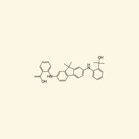 C=C(O)c1ccccc1Nc1ccc2c(c1)C(C)(C)c1cc(Nc3ccccc3C(C)(C)O)ccc1-2